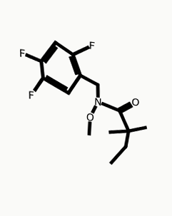 CCC(C)(C)C(=O)N(Cc1cc(F)c(F)cc1F)OC